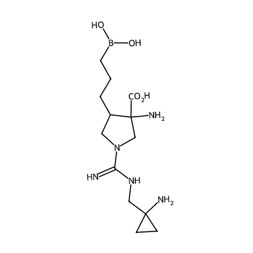 N=C(NCC1(N)CC1)N1CC(CCCB(O)O)C(N)(C(=O)O)C1